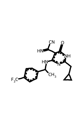 CC(Nc1nc(CC2CC2)[nH]c(=O)c1C(=N)C#N)c1ccc(C(F)(F)F)cc1